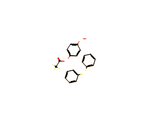 COc1ccc(OC(=O)C(F)(F)F)cc1.c1ccc(Sc2ccccc2)cc1